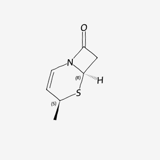 C[C@H]1C=CN2C(=O)C[C@H]2S1